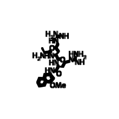 COc1cc(NC(=O)[C@H](CCCNC(=N)N)NC(=O)[C@H](CCCNC(=N)N)NC(=O)[C@H](C)N)cc2ccccc12